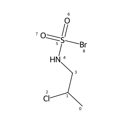 CC(Cl)CNS(=O)(=O)Br